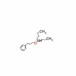 CCCC[SiH](CCCC)OCCCc1ccccc1